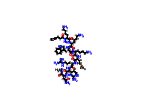 C#CCCC(=O)N[C@@H](CCCCN)C(=O)N[C@@H](CCCCN)C(=O)N[C@@H](Cc1c[nH]c2ccccc12)C(=O)N[C@@H](CCCCN)C(=O)N[C@@H](CCSC)C(=O)N[C@@H](CCCNC(=N)N)C(=O)N[C@@H](CCCNC(=N)N)C(=O)N[C@@H](CC(N)=O)C(=O)NC